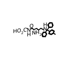 Cc1ccc(C(NCCCC[C@H](N)C(=O)NCC(=O)O)(c2ccccc2)c2ccccc2)cc1